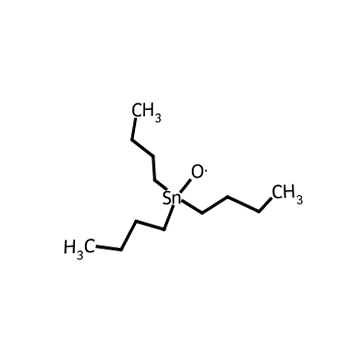 CCC[CH2][Sn]([O])([CH2]CCC)[CH2]CCC